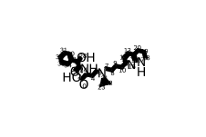 O=C(O)C(CCN(CCCCc1ccc2c(n1)NCCC2)C1CC1)NC(=O)C(O)c1ccccc1